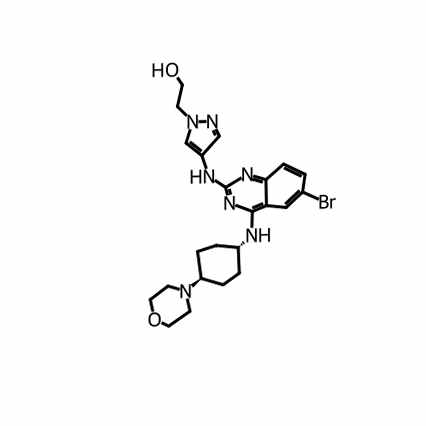 OCCn1cc(Nc2nc(N[C@H]3CC[C@H](N4CCOCC4)CC3)c3cc(Br)ccc3n2)cn1